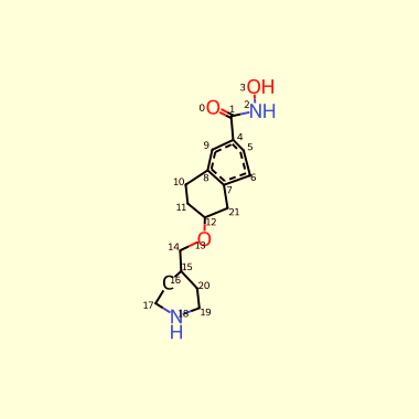 O=C(NO)c1ccc2c(c1)CCC(OCC1CCNCC1)C2